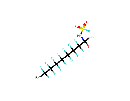 O=S(=O)(F)NC(O)(C(F)(F)F)C(F)(F)C(F)(F)C(F)(F)C(F)(F)C(F)(F)C(F)(F)C(F)(F)C(F)(F)F